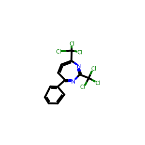 ClC(Cl)(Cl)C1=C=CC(c2ccccc2)=NC(C(Cl)(Cl)Cl)=N1